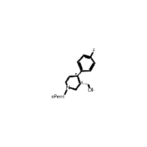 CCCCCN1CC[C@@H](c2ccc(F)cc2)[C@H](CO)C1